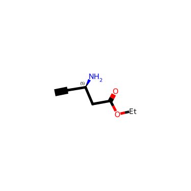 C#C[C@@H](N)CC(=O)OCC